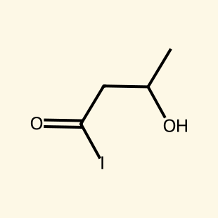 CC(O)CC(=O)I